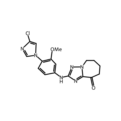 COc1cc(Nc2nc3n(n2)CCCCC3=O)ccc1-n1cnc(Cl)c1